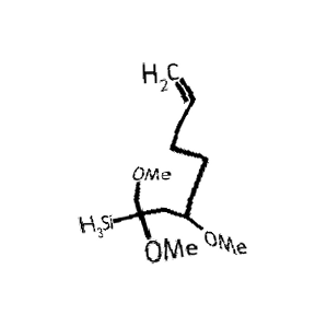 C=CCCC(OC)C([SiH3])(OC)OC